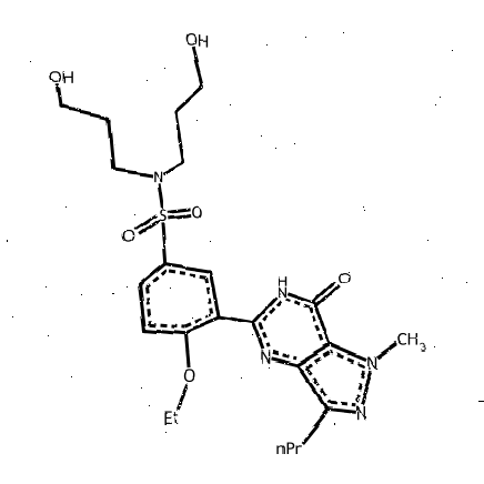 CCCc1nn(C)c2c(=O)[nH]c(-c3cc(S(=O)(=O)N(CCCO)CCCO)ccc3OCC)nc12